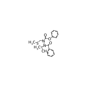 CSCN(C(=O)Oc1ccccc1)N(C(=O)c1ccccc1)C(C)C